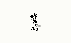 C=CC(=O)NC1C(C)(C)CN(S(=O)(=O)c2c[nH]c(C(=O)N3CCCC3)c2)CC1(C)C